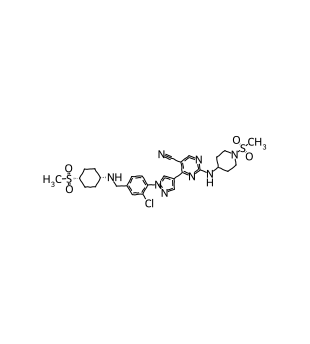 CS(=O)(=O)N1CCC(Nc2ncc(C#N)c(-c3cnn(-c4ccc(CN[C@H]5CC[C@@H](S(C)(=O)=O)CC5)cc4Cl)c3)n2)CC1